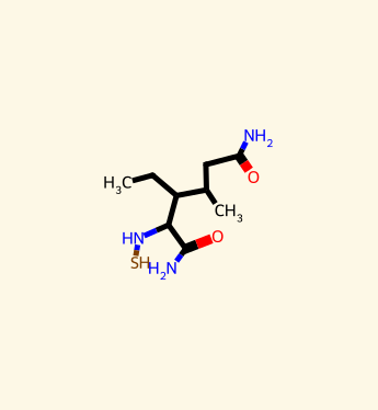 CCC(C(C)CC(N)=O)C(NS)C(N)=O